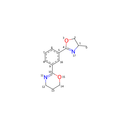 CC1COC(c2cccc(C3=NCCCO3)c2)=N1